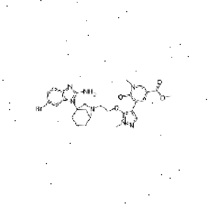 COC(=O)c1cc(-c2cnn(C)c2OCCN2CC3(n4c(N)nc5ccc(Br)cc54)CCCC2C3)c(=O)n(C)c1